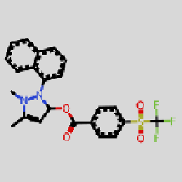 CC1=CC(OC(=O)c2ccc(S(=O)(=O)C(F)(F)F)cc2)N(c2cccc3ccccc23)N1C